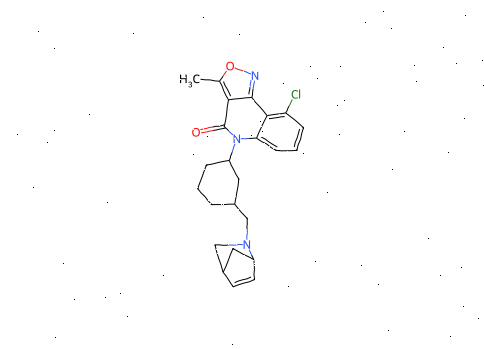 Cc1onc2c1c(=O)n(C1CCCC(CN3CC4C=CC3C4)C1)c1cccc(Cl)c21